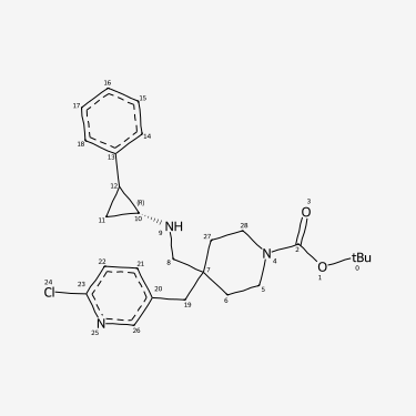 CC(C)(C)OC(=O)N1CCC(CN[C@@H]2CC2c2ccccc2)(Cc2ccc(Cl)nc2)CC1